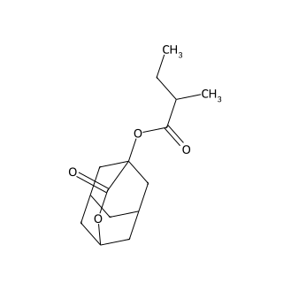 CCC(C)C(=O)OC12CC3CC(CC(C3)OC1=O)C2